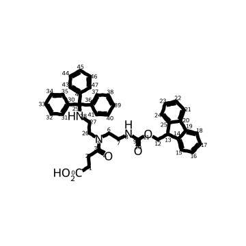 O=C(O)CCC(=O)N(CCNC(=O)OCC1c2ccccc2-c2ccccc21)CCNC(c1ccccc1)(c1ccccc1)c1ccccc1